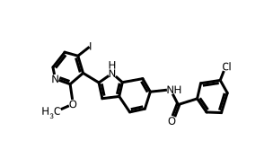 COc1nccc(I)c1-c1cc2ccc(NC(=O)c3cccc(Cl)c3)cc2[nH]1